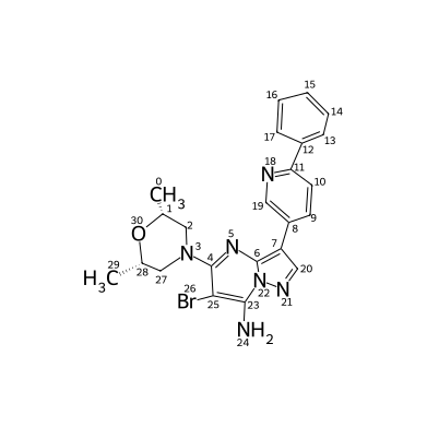 C[C@@H]1CN(c2nc3c(-c4ccc(-c5ccccc5)nc4)cnn3c(N)c2Br)C[C@H](C)O1